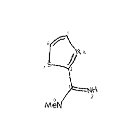 CNC(=N)c1nccs1